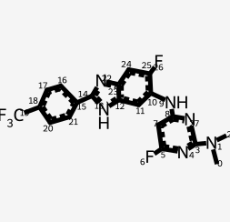 CN(C)c1nc(F)cc(Nc2cc3[nH]c(-c4ccc(C(F)(F)F)cc4)nc3cc2F)n1